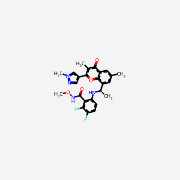 CONC(=O)c1c(N[C@H](C)c2cc(C)cc3c(=O)c(C)c(-c4cnn(C)c4)oc23)ccc(F)c1F